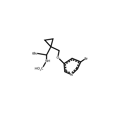 CC(C)(C)C(NC(=O)O)C1(COc2cncc(Br)c2)CC1